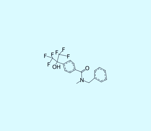 CN(Cc1ccccc1)C(=O)c1ccc(C(O)(C(F)(F)F)C(F)(F)F)cc1